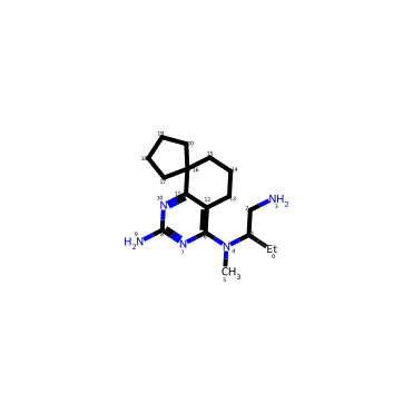 CCC(CN)N(C)c1nc(N)nc2c1CCCC21CCCC1